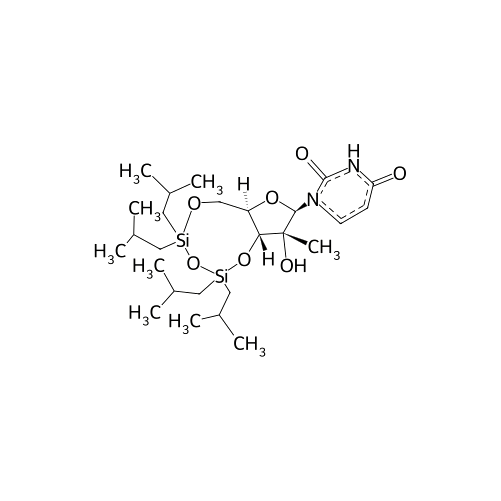 CC(C)C[Si]1(CC(C)C)OC[C@H]2O[C@@H](n3ccc(=O)[nH]c3=O)[C@](C)(O)[C@@H]2O[Si](CC(C)C)(CC(C)C)O1